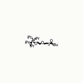 CCC(C)C(=O)SCCOCCOP(N(C(C)C)C(C)C)N(C(C)C)C(C)C